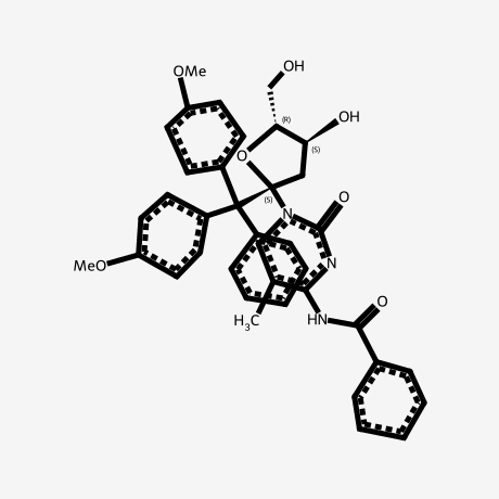 COc1ccc(C(c2ccccc2)(c2ccc(OC)cc2)[C@]2(n3cc(C)c(NC(=O)c4ccccc4)nc3=O)C[C@H](O)[C@@H](CO)O2)cc1